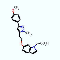 Cn1nc(-c2ccc(OC(F)(F)F)cc2)cc1CCOc1ccc2ccn(CC(=O)O)c2c1